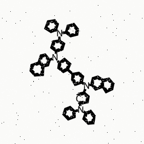 c1ccc(N(c2ccccc2)c2ccc(N(c3ccc(-c4ccc(N(c5ccc(N(c6ccccc6)c6ccccc6)cc5)c5ccc6ccccc6c5)cc4)cc3)c3ccc4ccccc4c3)cc2)cc1